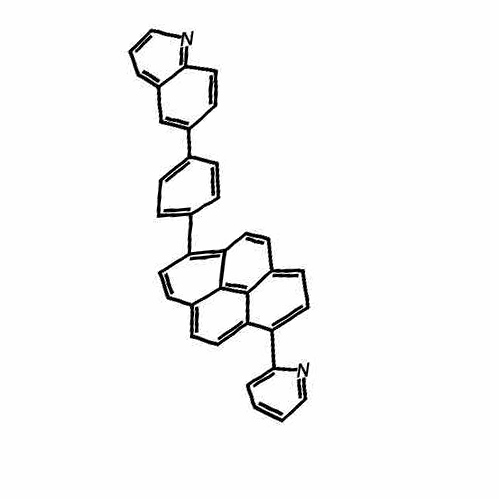 c1ccc(-c2ccc3ccc4c(-c5ccc(-c6ccc7ncccc7c6)cc5)ccc5ccc2c3c54)nc1